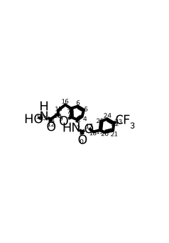 O=C(Nc1cccc2c1OC(C(=O)NO)CC2)OCc1ccc(C(F)(F)F)cc1